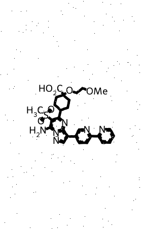 COCCOC1(C(=O)O)CCC(c2nc3c(-c4ccc(-c5ccccn5)nc4)cnn3c(N)c2S(C)(=O)=O)CC1